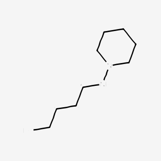 CCCCCNN1CCCCC1